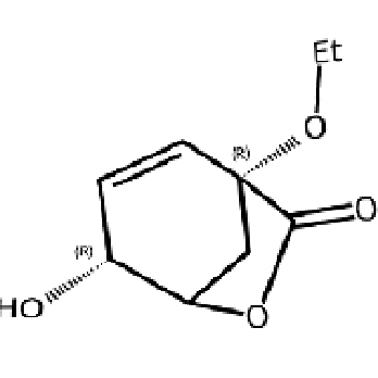 CCO[C@@]12C=C[C@@H](O)C(C1)OC2=O